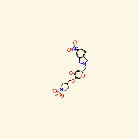 CS(=O)(=O)N1CCC(COc2coc(CN3Cc4ccc([N+](=O)[O-])cc4C3)cc2=O)CC1